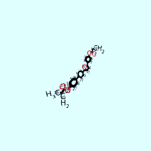 C=CC(=O)Oc1ccc(-c2ccc(C3CCC(c4ccc(OC(=O)C(=C)C)cc4)CC3)o2)cc1